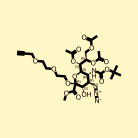 C#CCOCCOCCO[C@@]1(C(=O)OC)O[C@@H]([C@H](OC(C)=O)[C@@H](COC(C)=O)OC(C)=O)[C@H](NC(=O)OC(C)(C)C)[C@@H](N=[N+]=[N-])[C@@H]1O